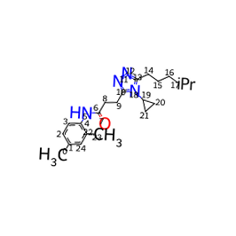 Cc1ccc(NC(=O)CCc2nnc(CCCC(C)C)n2C2CC2)c(C)c1